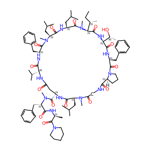 CC[C@H](C)[C@H]1C(=O)N[C@@H]([C@@H](C)O)C(=O)N[C@@H](Cc2ccccc2)C(=O)N2CCC[C@H]2C(=O)NCC(=O)N(C)[C@@H](CC(C)C)C(=O)N[C@H](C(=O)N(C)[C@@H](Cc2ccccc2)C(=O)N[C@@H](C)C(=O)N2CCCCC2)CC(=O)N[C@H](C(C)C)C(=O)N[C@@H](Cc2ccccc2)C(=O)N(C)[C@@H](CC(C)C)C(=O)N[C@@H](CC(C)C)C(=O)N1C